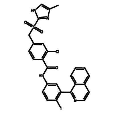 Cc1c[nH]c(S(=O)(=O)Cc2ccc(C(=O)Nc3ccc(I)c(-c4nccc5ccccc45)c3)c(Cl)c2)n1